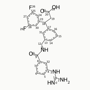 N=C(N)Nc1cccc(C(=O)NCc2cccc(C(CC(=O)O)c3cc(F)cc(F)c3)c2)c1